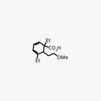 CCC1=CC=CC(CC)(C(=O)O)C1CCOC